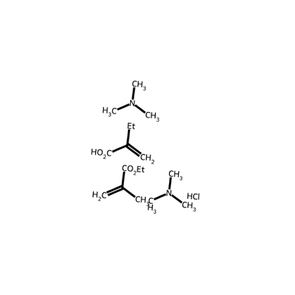 C=C(C)C(=O)OCC.C=C(CC)C(=O)O.CN(C)C.CN(C)C.Cl